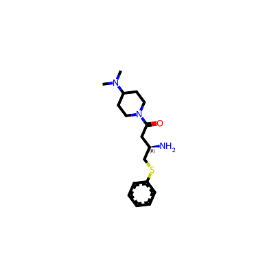 CN(C)C1CCN(C(=O)C[C@@H](N)CSc2ccccc2)CC1